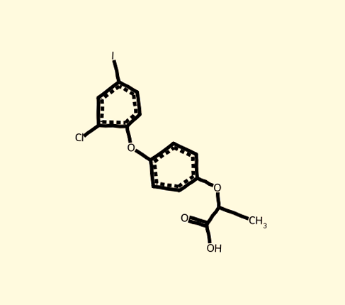 CC(Oc1ccc(Oc2ccc(I)cc2Cl)cc1)C(=O)O